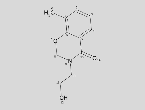 Cc1cccc2c1OCN(CCO)C2=O